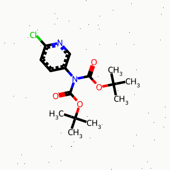 CC(C)(C)OC(=O)N(C(=O)OC(C)(C)C)c1ccc(Cl)nc1